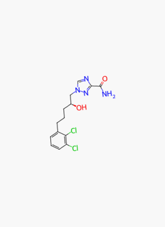 NC(=O)c1ncn(C[C@@H](O)CCCc2cccc(Cl)c2Cl)n1